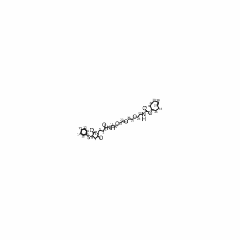 O=C(CCN1C(=O)CC(Sc2ccccc2)C1=O)NCCOCCOCCOCCNC(=O)OC1CC/C=C/CCC1